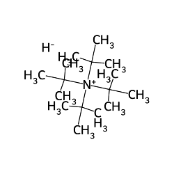 CC(C)(C)[N+](C(C)(C)C)(C(C)(C)C)C(C)(C)C.[H-]